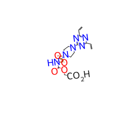 C=Cc1nc(C=C)nc(N2CCN(S(=O)(=O)NC(=O)OCC(=O)O)CC2)n1